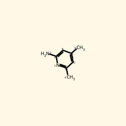 Cc1[c]c(C)nc(N)c1